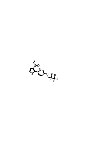 CC[S+]([O-])c1ccsc1-c1ccc(OCC(F)(F)C(F)(F)F)cn1